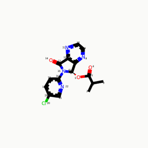 CC(C)C(=O)O[C@H]1c2nccnc2C(=O)N1c1ccc(Cl)cn1